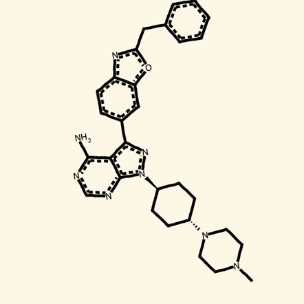 CN1CCN([C@H]2CC[C@H](n3nc(-c4ccc5nc(Cc6ccccc6)oc5c4)c4c(N)ncnc43)CC2)CC1